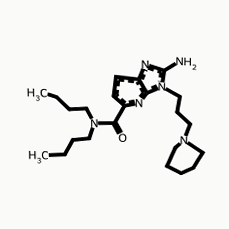 CCCCN(CCCC)C(=O)c1ccc2nc(N)n(CCCN3CCCCC3)c2n1